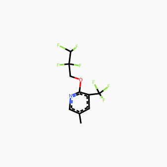 Cc1cnc(OCC(F)(F)C(F)F)c(C(F)(F)F)c1